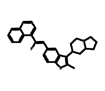 Cc1sc2ccc(C=C(F)c3cccc4ccccc34)cc2c1C1CCN2CCCC2C1